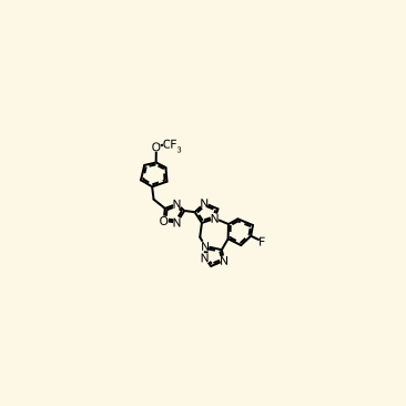 Fc1ccc2c(c1)-c1ncnn1Cc1c(-c3noc(Cc4ccc(OC(F)(F)F)cc4)n3)ncn1-2